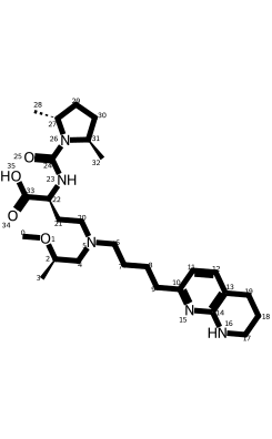 CO[C@H](C)CN(CCCCc1ccc2c(n1)NCCC2)CC[C@H](NC(=O)N1[C@H](C)CC[C@H]1C)C(=O)O